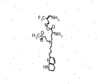 CS(=O)(=O)CCN(CCCCc1ccc2c(n1)NCCC2)CCC(N)C(=O)O/N=C/C(=C\N)C(F)(F)F